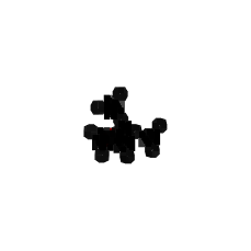 c1ccc(-c2cc(-c3ccc(-n4c5ccc(-c6nc(-c7ccccc7)nc(-c7ccccc7)n6)cc5c5cc(-c6nc(-c7ccccc7)nc(-c7ccccc7)n6)ccc54)c(-c4nc(-c5ccccc5)nc(-c5ccccc5)n4)c3)nc(-c3ccccc3)n2)cc1